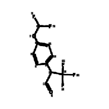 O=CC(c1ccc(OC(F)F)cc1)C(F)(F)F